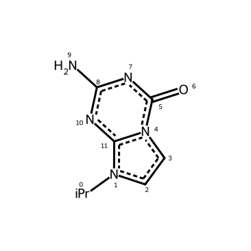 CC(C)n1ccn2c(=O)nc(N)nc12